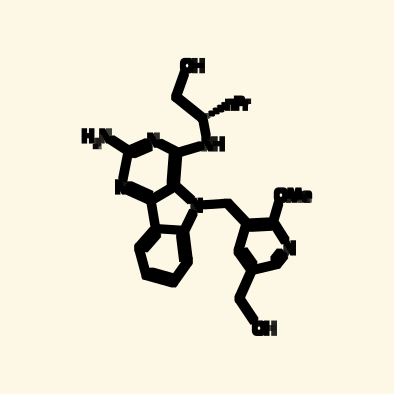 CCC[C@@H](CO)Nc1nc(N)nc2c3ccccc3n(Cc3cc(CO)cnc3OC)c12